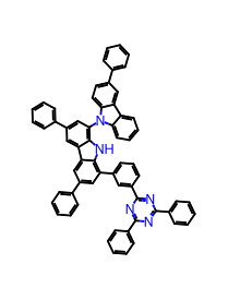 c1ccc(-c2cc(-c3cccc(-c4nc(-c5ccccc5)nc(-c5ccccc5)n4)c3)c3[nH]c4c(-n5c6ccccc6c6cc(-c7ccccc7)ccc65)cc(-c5ccccc5)cc4c3c2)cc1